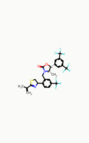 C=C(C)C1=NC(c2ccc(C(F)(F)F)cc2CN2C(=O)O[C@H](c3cc(C(F)(F)F)cc(C(F)(F)F)c3)[C@@H]2C)CS1